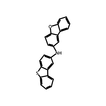 c1ccc2c(c1)oc1ccc(Nc3ccc4sc5ccccc5c4c3)cc12